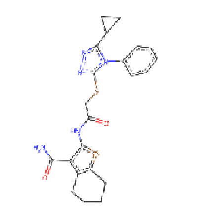 NC(=O)c1c(NC(=O)CSc2nnc(C3CC3)n2-c2ccccc2)sc2c1CCCC2